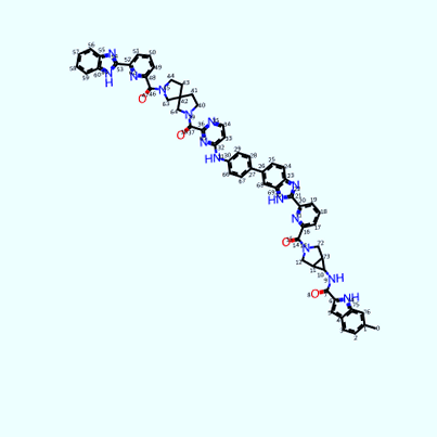 Cc1ccc2cc(C(=O)NC3C4CN(C(=O)c5cccc(-c6nc7ccc(-c8ccc(Nc9ccnc(C(=O)N%10CCC%11(CCN(C(=O)c%12cccc(-c%13nc%14ccccc%14[nH]%13)n%12)C%11)C%10)n9)cc8)cc7[nH]6)n5)CC43)[nH]c2c1